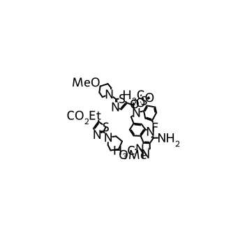 CCOC(=O)c1cnc(N2CCC(OC)CC2)s1.COC1CCN(c2ncc(C(=O)N(Cc3ccc4c(c3)nc(N)c3cnn(C)c34)c3cc(F)ccc3S(C)(=O)=O)s2)CC1